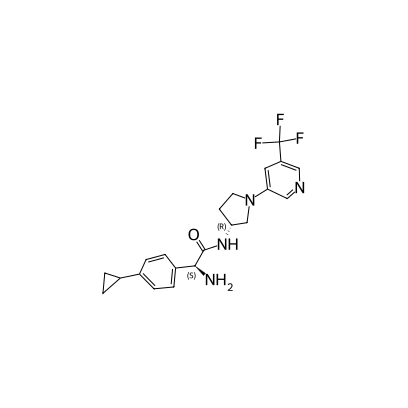 N[C@H](C(=O)N[C@@H]1CCN(c2cncc(C(F)(F)F)c2)C1)c1ccc(C2CC2)cc1